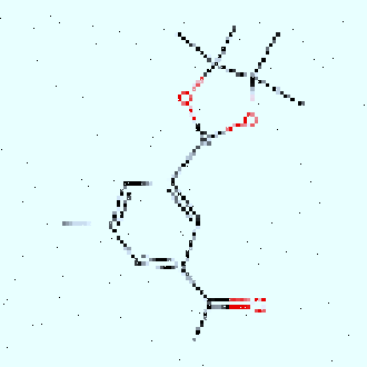 CC(=O)c1cc(C)cc(B2OC(C)(C)C(C)(C)O2)c1